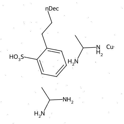 CC(N)N.CC(N)N.CCCCCCCCCCCCc1ccccc1S(=O)(=O)O.[Cu]